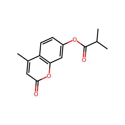 Cc1cc(=O)oc2cc(OC(=O)C(C)C)ccc12